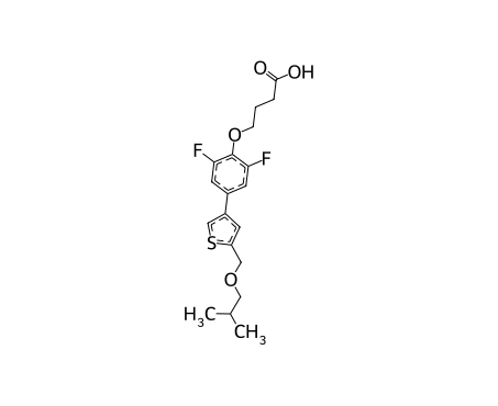 CC(C)COCc1cc(-c2cc(F)c(OCCCC(=O)O)c(F)c2)cs1